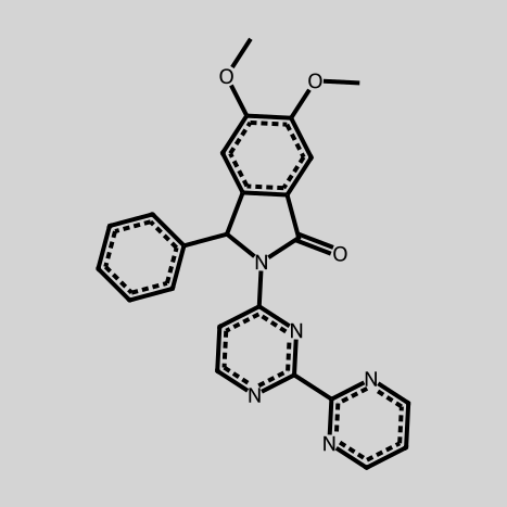 COc1cc2c(cc1OC)C(c1ccccc1)N(c1ccnc(-c3ncccn3)n1)C2=O